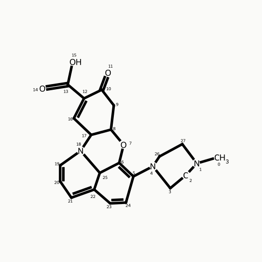 CN1CCN(C2=C3OC4CC(=O)C(C(=O)O)=CC4N4C=CC=C(C=C2)C34)CC1